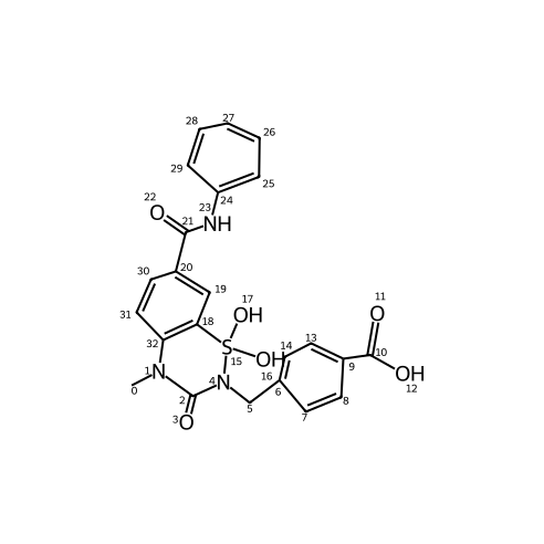 CN1C(=O)N(Cc2ccc(C(=O)O)cc2)S(O)(O)c2cc(C(=O)Nc3ccccc3)ccc21